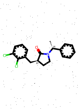 C[C@H](c1ccccc1)N1CC[C@@H](Cc2cccc(Cl)c2Cl)C1=O